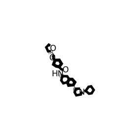 O=C(N[C@H]1CCc2cc([C@H]3CCCN(C4CCCCC4)C3)ccc2C1)c1ccc(OC[C@@H]2CCCO2)cc1